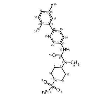 CCCS(=O)(=O)N1CCC(N(C)C(=O)Nc2ccc(-c3cc(F)ccc3F)nc2)CC1